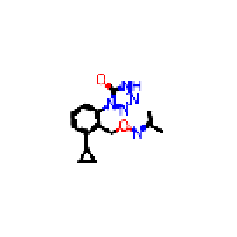 CC(C)=NOCc1c(C2CC2)cccc1-n1nn[nH]c1=O